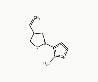 C=CC1COB(c2ccnn2C)O1